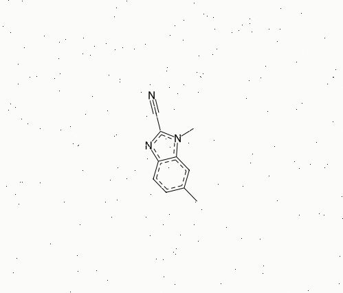 Cc1ccc2nc(C#N)n(C)c2c1